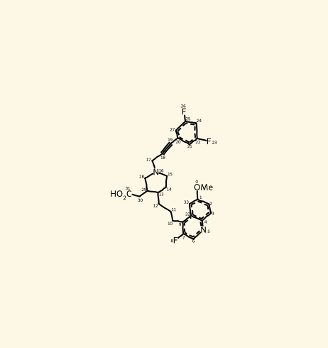 COc1ccc2ncc(F)c(CCCC3CCN(CC#Cc4cc(F)cc(F)c4)CC3CC(=O)O)c2c1